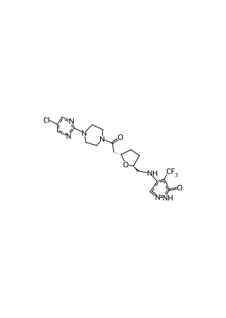 O=C(C[C@@H]1CC[C@@H](CNc2cn[nH]c(=O)c2C(F)(F)F)O1)N1CCN(c2ncc(Cl)cn2)CC1